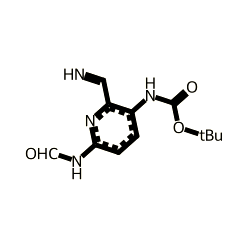 CC(C)(C)OC(=O)Nc1ccc(NC=O)nc1C=N